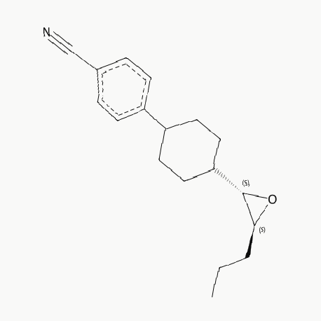 CCC[C@@H]1O[C@H]1C1CCC(c2ccc(C#N)cc2)CC1